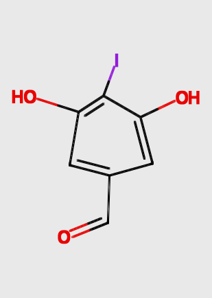 O=Cc1cc(O)c(I)c(O)c1